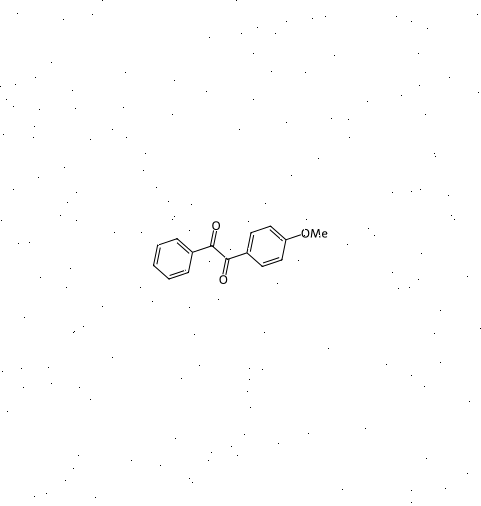 COc1ccc(C(=O)C(=O)c2ccccc2)cc1